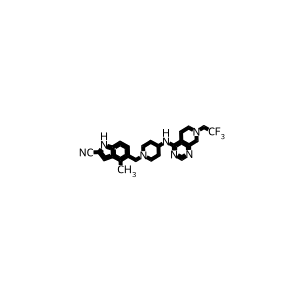 Cc1c(CN2CCC(Nc3ncnc4c3CCN(CC(F)(F)F)C4)CC2)ccc2[nH]c(C#N)cc12